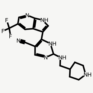 N#CC1=C(c2c[nH]c3ncc(C(F)(F)F)cc23)NC(NCC2CCNCC2)N=C1